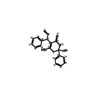 C=CC(C1=C(O)CC(CCC)(c2ccccc2)OC1=O)c1ccccc1